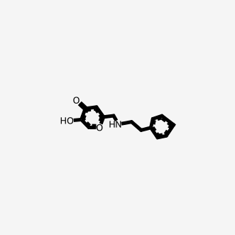 O=c1cc(CNCCc2ccccc2)occ1O